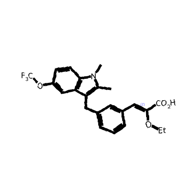 CCO/C(=C\c1cccc(Cc2c(C)n(C)c3ccc(OC(F)(F)F)cc23)c1)C(=O)O